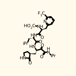 CC(C)C[C@H](NC(=O)[C@H](Cc1cccc(C(F)(F)F)n1)NC(=O)O)C(=O)N[C@@H](C[C@@H]1CCNC1=O)C(=O)C(=O)NC(C)C